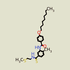 CCCCCCCCCOc1ccc(C(=O)Nc2cc(C(=S)NCCSC)ccc2C)cc1